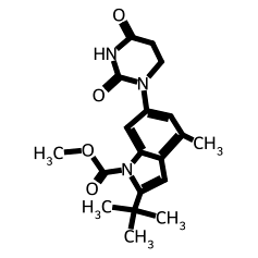 COC(=O)n1c(C(C)(C)C)cc2c(C)cc(N3CCC(=O)NC3=O)cc21